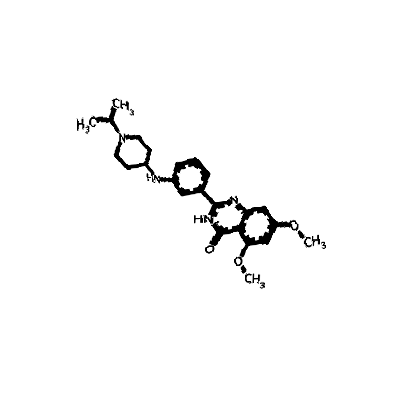 COc1cc(OC)c2c(=O)[nH]c(-c3cccc(NC4CCN(C(C)C)CC4)c3)nc2c1